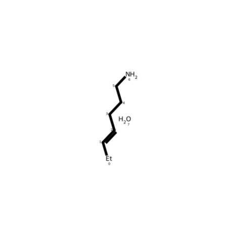 CCC=CCCCN.O